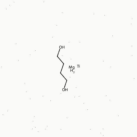 OCCCCO.[MgH2].[Ti]